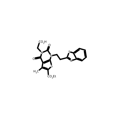 CCOC(=O)c1sc2c(c1C)c(=O)n(CC(=O)O)c(=O)n2CCc1nc2ccccc2s1